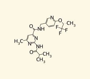 Cc1cc(C(=O)NCc2ccc(O[C@H](C)C(F)(F)F)nc2)nc(NC(=O)C(C)C)n1